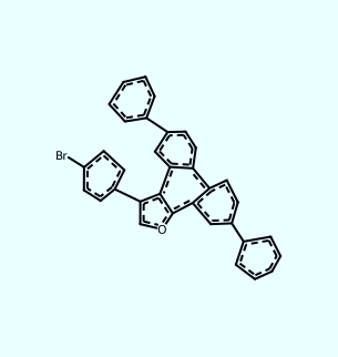 Brc1ccc(-c2coc3c4cc(-c5ccccc5)ccc4c4ccc(-c5ccccc5)cc4c23)cc1